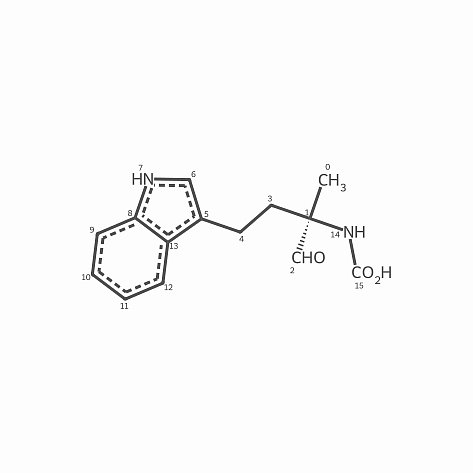 C[C@](C=O)(CCc1c[nH]c2ccccc12)NC(=O)O